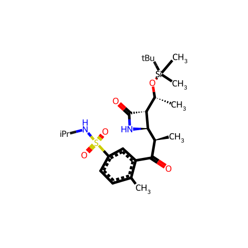 Cc1ccc(S(=O)(=O)NC(C)C)cc1C(=O)[C@H](C)[C@H]1NC(=O)[C@@H]1[C@@H](C)O[Si](C)(C)C(C)(C)C